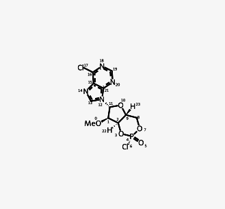 CO[C@@H]1[C@@H]2O[P@@](=O)(Cl)OC[C@H]2O[C@H]1n1cnc2c(Cl)ncnc21